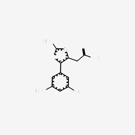 Cc1cc(C)cc(-c2sc(C)nc2CC(=O)O)c1